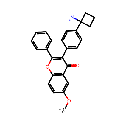 NC1(c2ccc(-c3c(-c4ccccc4)oc4ccc(OC(F)(F)F)cc4c3=O)cc2)CCC1